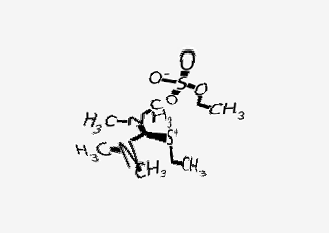 CCOS(=O)(=O)[O-].CC[S+]=C(N(C)C)N(C)C